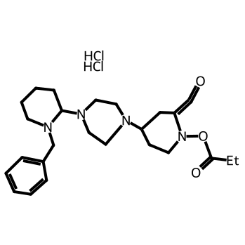 CCC(=O)ON1CCC(N2CCN(C3CCCCN3Cc3ccccc3)CC2)CC1=C=O.Cl.Cl